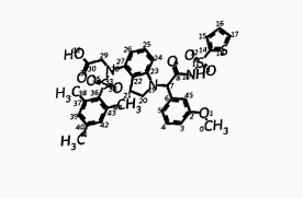 COc1cccc(C(C(=O)NS(=O)(=O)c2cccs2)N2CCc3c2cccc3N(CC(=O)O)S(=O)(=O)c2c(C)cc(C)cc2C)c1